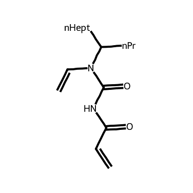 C=CC(=O)NC(=O)N(C=C)C(CCC)CCCCCCC